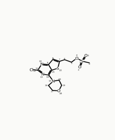 CS(=O)(=O)OCCc1cc2nc(Cl)nc(N3CCOCC3)c2s1